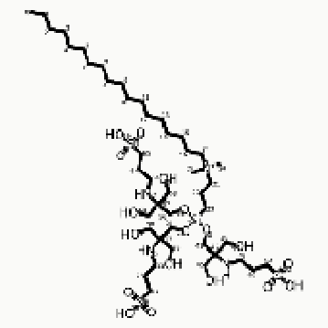 CCCCCCCCCCCCCCCCCC[N+](C)(C)CCC[Si](OCC(CO)(CO)NCCCS(=O)(=O)O)(OCC(CO)(CO)NCCCS(=O)(=O)O)OCC(CO)(CO)NCCCS(=O)(=O)O